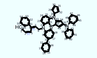 C#C/C=C\C(=C/CN1c2cc(-c3ccccc3)ccc2B2c3c1cccc3N(C1C=CC=C1)C1=CC(N(c3ccccc3)c3ccccc3)=CC21)c1ccccc1